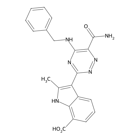 Cc1[nH]c2c(C(=O)O)cccc2c1-c1nnc(C(N)=O)c(NCc2ccccc2)n1